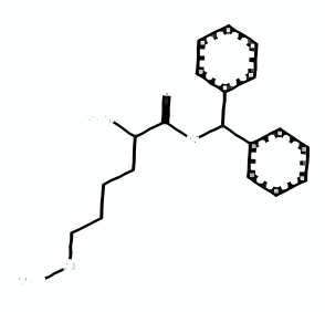 CNC(CCCCNSC)C(=O)NC(c1ccccc1)c1ccccc1